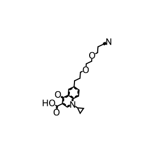 N#CCCOCCOCCCc1ccc2c(c1)c(=O)c(C(=O)O)cn2C1CC1